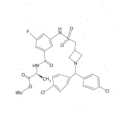 C[C@H](NC(=O)c1cc(F)cc(NS(=O)(=O)CC2CN(C(c3ccc(Cl)cc3)c3ccc(Cl)cc3)C2)c1)C(=O)OC(C)(C)C